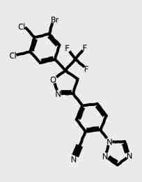 N#Cc1cc(C2=NOC(c3cc(Cl)c(Cl)c(Br)c3)(C(F)(F)F)C2)ccc1-n1cncn1